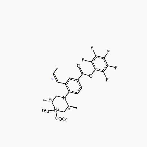 C/C=C\c1cc(C(=O)Oc2c(F)c(F)c(F)c(F)c2F)ccc1N1C[C@@H](C)[N+](C(=O)[O-])(C(C)(C)C)C[C@@H]1C